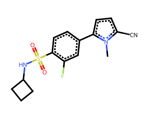 Cn1c(C#N)ccc1-c1ccc(S(=O)(=O)NC2CCC2)c(F)c1